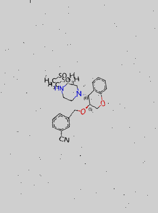 CS(=O)(=O)O.CS(=O)(=O)O.N#Cc1cccc(CO[C@@H]2COc3ccccc3[C@H]2N2CCNCC2)c1